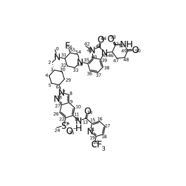 CN(C[C@H]1CC[C@H](n2cc3cc(NC(=O)c4cccc(C(F)(F)F)n4)c([S+](C)[O-])cc3n2)CC1)C1CCN(c2cccc3c2n(C)c(=O)n3C2CCC(=O)NC2=O)CC1F